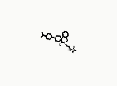 CC(C)=C1CCC(N2CCC3(CC2)C(=O)N(CCNS(C)(=O)=O)Cc2ccccc23)CC1